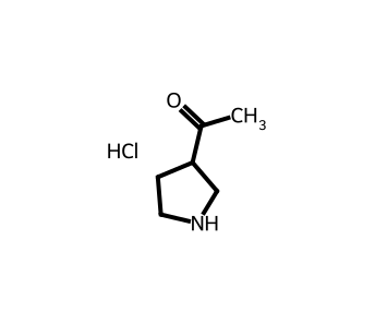 CC(=O)C1CCNC1.Cl